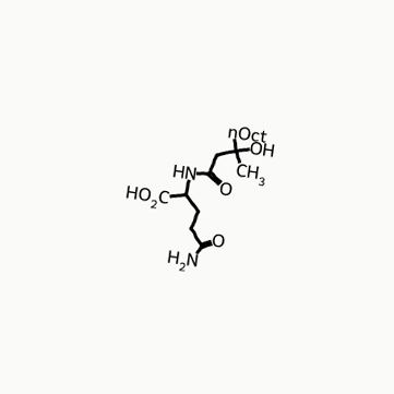 CCCCCCCCC(C)(O)CC(=O)NC(CCC(N)=O)C(=O)O